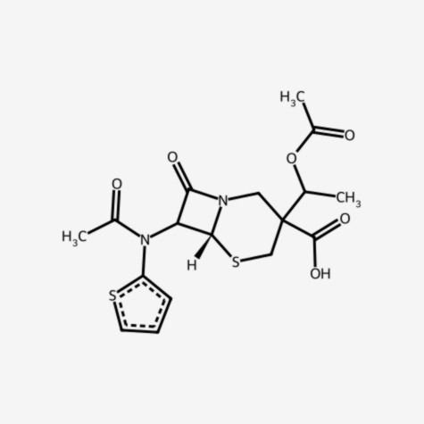 CC(=O)OC(C)C1(C(=O)O)CS[C@@H]2C(N(C(C)=O)c3cccs3)C(=O)N2C1